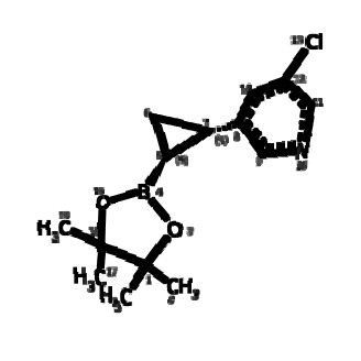 CC1(C)OB([C@H]2C[C@@H]2c2cncc(Cl)c2)OC1(C)C